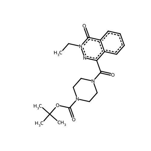 CCn1nc(C(=O)N2CCN(C(=O)OC(C)(C)C)CC2)c2ccccc2c1=O